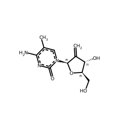 C=C1[C@H](n2cc(C)c(N)nc2=O)O[C@H](CO)[C@H]1O